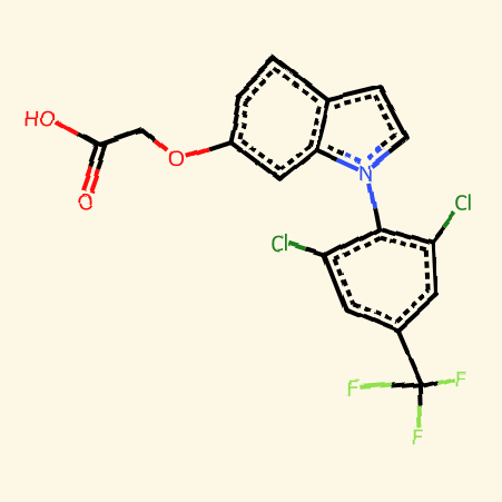 O=C(O)COc1ccc2ccn(-c3c(Cl)cc(C(F)(F)F)cc3Cl)c2c1